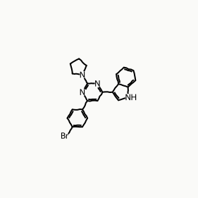 Brc1ccc(-c2cc(-c3c[nH]c4ccccc34)nc(N3CCCC3)n2)cc1